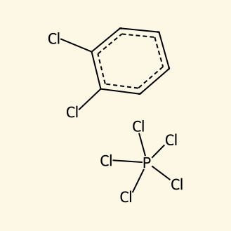 ClP(Cl)(Cl)(Cl)Cl.Clc1ccccc1Cl